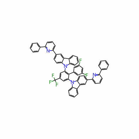 Fc1cc(F)cc(-c2c(-n3c4ccccc4c4cc(-c5cccc(-c6ccccc6)n5)ccc43)cc(C(F)(F)F)cc2-n2c3ccccc3c3cc(-c4cccc(-c5ccccc5)n4)ccc32)c1